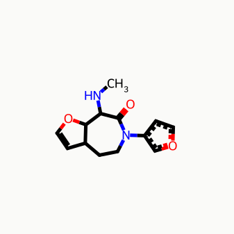 CNC1C(=O)N(c2ccoc2)CCC2C=COC21